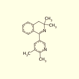 Cc1cc(C2=NC(C)(C)Cc3ccccc32)cnc1C